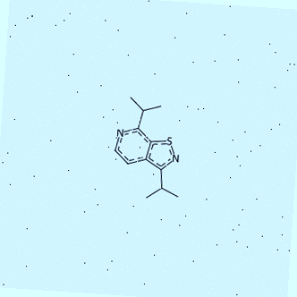 CC(C)c1nsc2c(C(C)C)nccc12